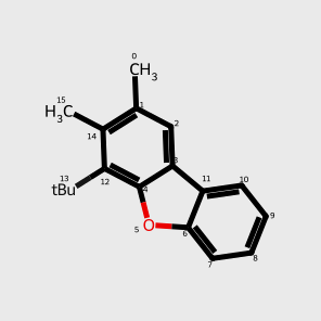 Cc1cc2c(oc3ccccc32)c(C(C)(C)C)c1C